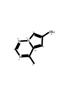 Cc1ncnn2cc(C(C)(C)C)cc12